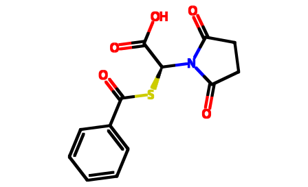 O=C(S[C@@H](C(=O)O)N1C(=O)CCC1=O)c1ccccc1